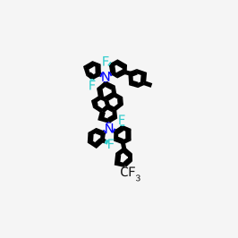 Cc1ccc(-c2ccc(F)c(N(c3cc4ccc5cc(N(c6ccccc6F)c6cc(-c7ccc(C(F)(F)F)cc7)ccc6F)cc6ccc(c3)c4c56)c3ccccc3F)c2)cc1